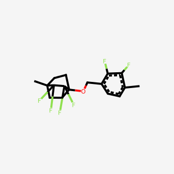 Cc1ccc(COC23CCC(C)(CC2)C(F)(F)C3(F)F)c(F)c1F